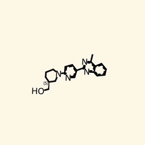 Cc1nc(-c2ccc(N3CCC[C@H](CO)C3)nc2)nc2ccccc12